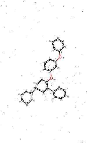 c1ccc(Oc2cccc(Oc3ccc(-c4ccccc4)cc3-c3ccccc3)c2)cc1